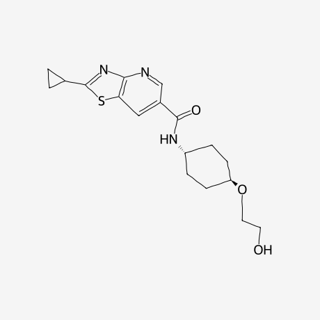 O=C(N[C@H]1CC[C@H](OCCO)CC1)c1cnc2nc(C3CC3)sc2c1